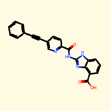 O=C(Nc1nc2c(C(=O)O)cccc2[nH]1)c1ccc(C#Cc2ccccc2)cn1